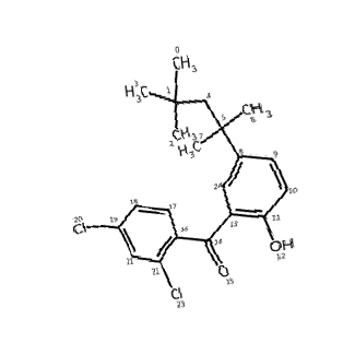 CC(C)(C)CC(C)(C)c1ccc(O)c(C(=O)c2ccc(Cl)cc2Cl)c1